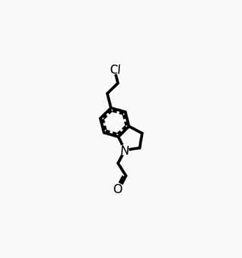 O=CCN1CCc2cc(CCCl)ccc21